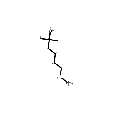 CC(C)(O)CCCCON